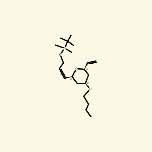 C=C[C@H]1C[C@@H](OCCCC)C[C@@H](/C=C\CO[Si](C)(C)C(C)(C)C)O1